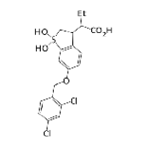 CCC(C(=O)O)C1CS(O)(O)c2cc(OCc3ccc(Cl)cc3Cl)ccc21